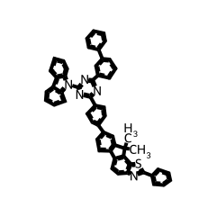 CC1(C)c2cc(-c3ccc(-c4nc(-c5cccc(-c6ccccc6)c5)nc(-n5c6ccccc6c6ccccc65)n4)cc3)ccc2-c2ccc3nc(-c4ccccc4)sc3c21